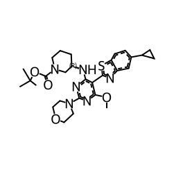 COc1nc(N2CCOCC2)nc(N[C@@H]2CCCN(C(=O)OC(C)(C)C)C2)c1-c1nc2cc(C3CC3)ccc2s1